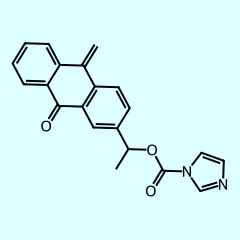 C=C1c2ccccc2C(=O)c2cc(C(C)OC(=O)n3ccnc3)ccc21